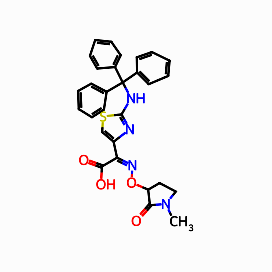 CN1CCC(ON=C(C(=O)O)c2csc(NC(c3ccccc3)(c3ccccc3)c3ccccc3)n2)C1=O